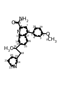 COc1ccc(-c2cc(C(N)=O)nc3cc(C(C)Cc4cccnc4)ccc23)cc1